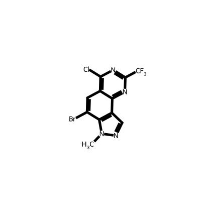 Cn1ncc2c3nc(C(F)(F)F)nc(Cl)c3cc(Br)c21